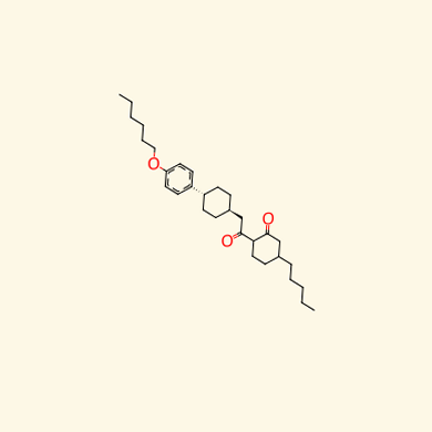 CCCCCCOc1ccc([C@H]2CC[C@H](CC(=O)C3CCC(CCCCC)CC3=O)CC2)cc1